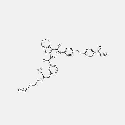 CCOC(=O)CCCCN(Cc1cccc(C(=O)Nc2sc3c(c2C(=O)Nc2ccc(CCc4ccc(C(=O)OC)cc4)cc2)CCCC3)c1)C1CC1